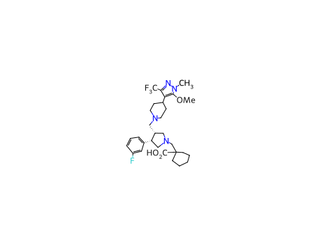 COc1c(C2CCN(C[C@@H]3CN(CC4(C(=O)O)CCCCC4)C[C@@H]3c3cccc(F)c3)CC2)c(C(F)(F)F)nn1C